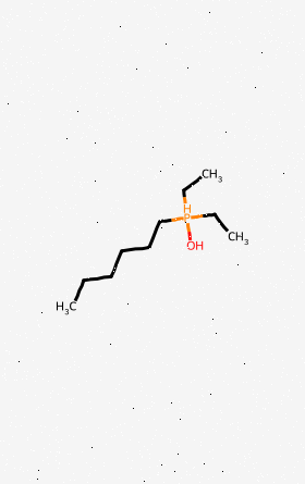 CCCCCC[PH](O)(CC)CC